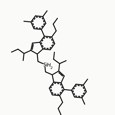 CCCc1ccc2c(c1-c1cc(C)cc(C)c1)C=C(C(C)CC)C2C[SiH2]CC1C(C(C)CC)=Cc2c1ccc(CCC)c2-c1cc(C)cc(C)c1